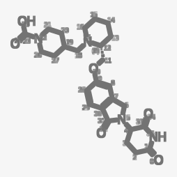 O=C1CCC(N2Cc3cc(OC[C@H]4CCCCN4CC4CCN(C(=O)O)CC4)ccc3C2=O)C(=O)N1